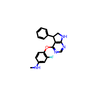 CNc1ccc(Oc2ncnc3c2C(c2ccccc2)CN3)c(F)c1